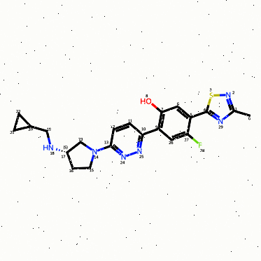 Cc1nsc(-c2cc(O)c(-c3ccc(N4CC[C@H](NCC5CC5)C4)nn3)cc2F)n1